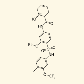 CCOc1cc(NC(=O)C2CC=CC[C@@H]2O)ccc1S(=O)(=O)Nc1ccc(C)c(OC(F)(F)F)c1